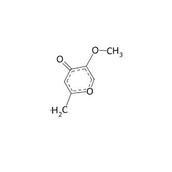 [CH2]c1cc(=O)c(OC)co1